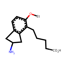 CCOc1ccc2c(c1CCCCC(=O)O)CC(N)C2